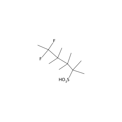 CC(F)(F)C(C)(C)C(C)(C)C(C)(C)S(=O)(=O)O